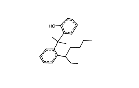 CCCCC(CC)c1ccccc1C(C)(C)c1ccccc1O